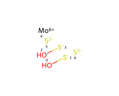 O[S-].O[S-].[Mo+6].[S-2].[S-2]